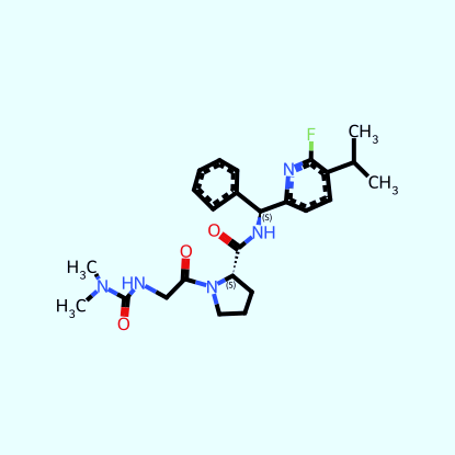 CC(C)c1ccc([C@@H](NC(=O)[C@@H]2CCCN2C(=O)CNC(=O)N(C)C)c2ccccc2)nc1F